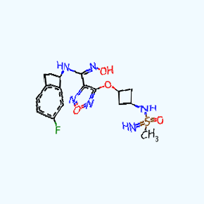 CS(=N)(=O)N[C@H]1C[C@@H](Oc2nonc2/C(=N\O)N[C@@H]2Cc3ccc(F)cc32)C1